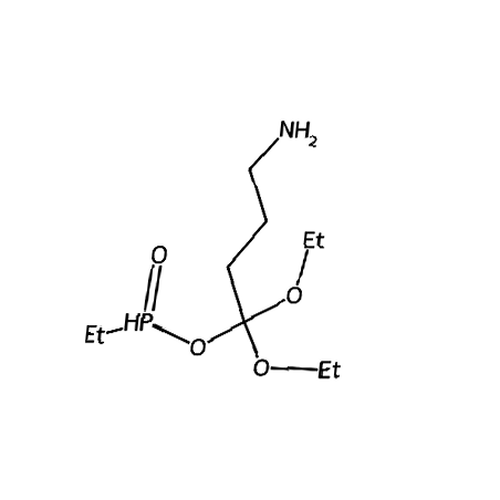 CCOC(CCCN)(OCC)O[PH](=O)CC